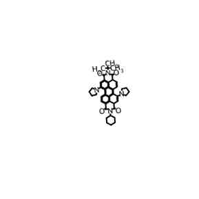 CC(C)(C)N1C(=O)c2cc(N3CCCC3)c3c4c(c5c6c7c(ccc63)C(=O)N(C3CCCCC3)C(=O)C7C=C5N3CCCC3)C=CC(C1=O)c24